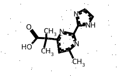 Cc1cc(C(C)(C)C(=O)O)nc(-c2ncc[nH]2)n1